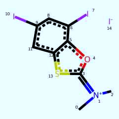 C[N+](C)=c1oc2c(I)cc(I)cc2s1.[I-]